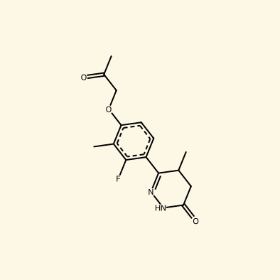 CC(=O)COc1ccc(C2=NNC(=O)CC2C)c(F)c1C